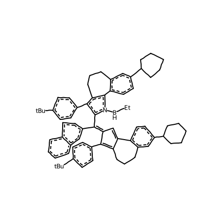 CCBn1c(/C(=C2\C=C3C(=C2c2ccc(C(C)(C)C)cc2)CCCc2cc(C4CCCCC4)ccc23)c2ccc3ccccc3c2)c(-c2ccc(C(C)(C)C)cc2)c2c1-c1ccc(C3CCCCC3)cc1CCC2